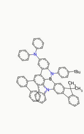 CC(C)(C)c1ccc(N2B3c4cc5c(cc4-n4c6ccccc6c6c(-c7ccccc7-c7ccccc7)cc(c3c64)-c3cc(N(c4ccccc4)c4ccccc4)ccc32)-c2ccccc2C5(C)C)cc1